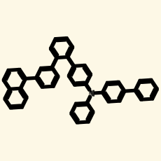 c1ccc(-c2ccc(N(c3ccccc3)c3ccc(-c4ccccc4-c4cccc(-c5cccc6ccccc56)c4)cc3)cc2)cc1